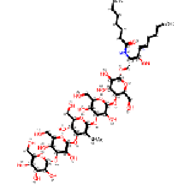 CCCCCCCCCCCCC/C=C/[C@@H](O)[C@H](CO[C@@H]1OC(CO)[C@@H](O[C@@H]2OC(CO)[C@H](O)[C@H](O[C@@H]3OC(CO)[C@@H](O)[C@H](O[C@@H]4OC(CO)[C@H](O)[C@H](O[C@H]5OC(CO)[C@H](O)[C@H](O)C5O)C4O)C3NC(C)=O)C2O)[C@H](O)C1O)NC(=O)CCCCCCCCCCCCCCC